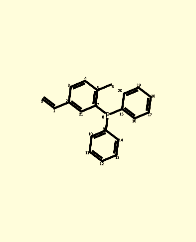 C=Cc1ccc(C)c(P(c2ccccc2)c2ccccc2)c1